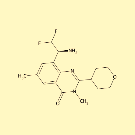 Cc1cc([C@H](N)C(F)F)c2nc(C3CCOCC3)n(C)c(=O)c2c1